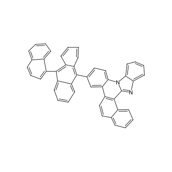 c1ccc2c(-c3c4ccccc4c(-c4ccc5c(c4)c4ccc6ccccc6c4c4nc6ccccc6n54)c4ccccc34)cccc2c1